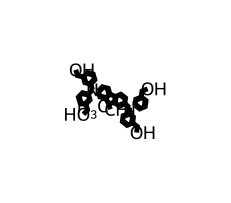 CC1(C)c2cc(N(c3cccc(CO)c3)c3cccc(CO)c3)ccc2-c2ccc(N(c3cccc(CO)c3)c3cccc(CO)c3)cc21